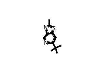 Cc1nc2cnc(C(C)(C)C)cc2s1